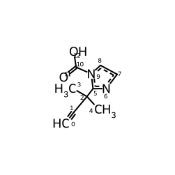 C#CC(C)(C)c1nccn1C(=O)O